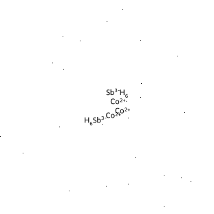 [Co+2].[Co+2].[Co+2].[SbH6-3].[SbH6-3]